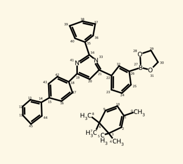 CC1=CC(C)(C)C(C)(C)C=C1.c1ccc(-c2ccc(-c3cc(-c4cccc(B5OCCO5)c4)nc(-c4ccccc4)n3)cc2)cc1